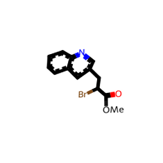 COC(=O)C(Br)Cc1cnc2ccccc2c1